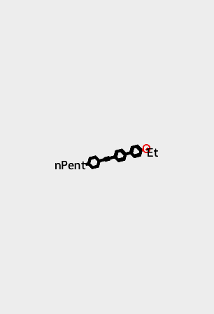 CCCCCC1CCC(C#Cc2ccc(-c3ccc(OCC)cc3)cc2)CC1